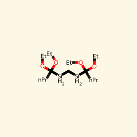 CCCC(OCC)(OCC)[SiH2]C[SiH2]C(CCC)(OCC)OCC